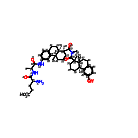 C[C@H](NC(=O)[C@@H](N)CCC(=O)O)C(=O)Nc1ccc2c(c1)[C@@]1(C)CCC[C@](C)(C(=O)N(C)C(=O)[C@@]3(C)CCC[C@]4(C)c5cc(O)ccc5CC[C@@H]34)[C@]1(C)CC2